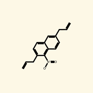 C=CCc1ccc2c([N+](=O)[O-])c(CC=C)ccc2c1